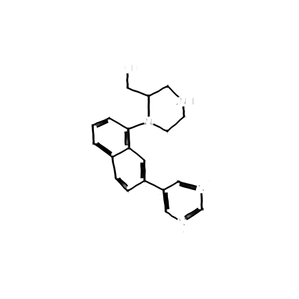 CCC1CNCCN1c1cccc2ccc(-c3cncnc3)cc12